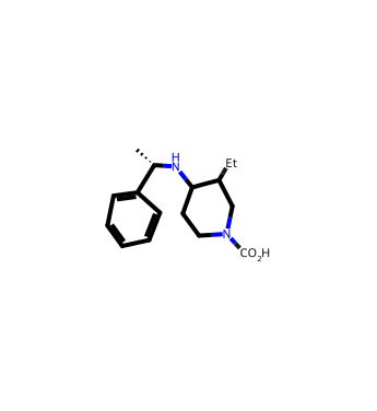 CCC1CN(C(=O)O)CCC1N[C@@H](C)c1ccccc1